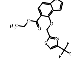 CCOC(=O)c1ccc2sccc2c1OCc1nc(C(F)(F)F)cs1